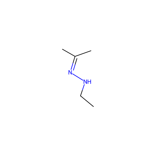 CCNN=C(C)C